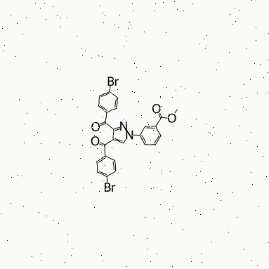 COC(=O)c1cccc(-n2cc(C(=O)c3ccc(Br)cc3)c(C(=O)c3ccc(Br)cc3)n2)c1